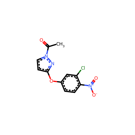 CC(=O)n1ccc(Oc2ccc([N+](=O)[O-])c(Cl)c2)n1